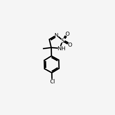 CC1(c2ccc(Cl)cc2)C=NS(=O)(=O)N1